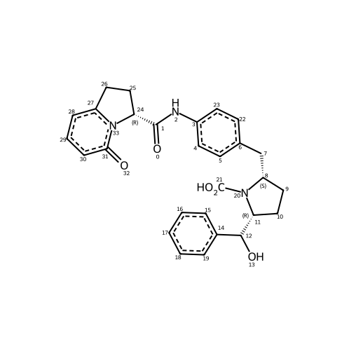 O=C(Nc1ccc(C[C@@H]2CC[C@H](C(O)c3ccccc3)N2C(=O)O)cc1)[C@H]1CCc2cccc(=O)n21